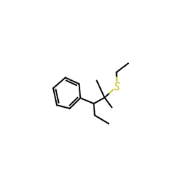 CCSC(C)(C)C(CC)c1ccccc1